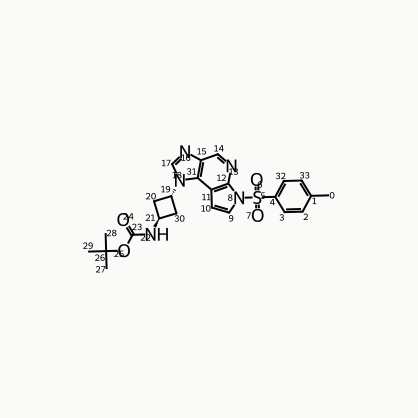 Cc1ccc(S(=O)(=O)n2ccc3c2ncc2ncn([C@H]4C[C@H](NC(=O)OC(C)(C)C)C4)c23)cc1